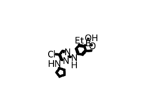 CCc1cc(Nc2ncc(Cl)c(NC3CCCC3)n2)cc2c1B(O)OC2